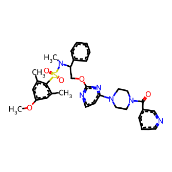 COc1cc(C)c(S(=O)(=O)N(C)C(COc2nccc(N3CCN(C(=O)c4cccnc4)CC3)n2)c2ccccc2)c(C)c1